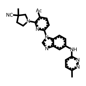 CC(=O)c1ccc(-n2cnc3cc(Nc4ccc(C)nn4)ccc32)nc1N1CCC(C)(C#N)C1